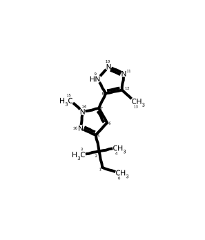 CCC(C)(C)c1cc(-c2[nH]nnc2C)n(C)n1